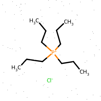 CCC[P+](CCC)(CCC)CCC.[Cl-]